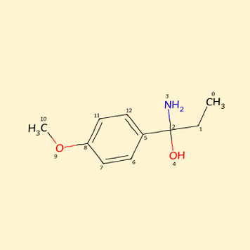 CCC(N)(O)c1ccc(OC)cc1